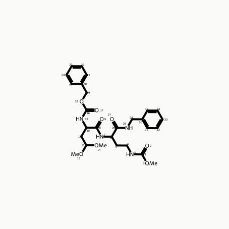 COC(=O)NCCC(NC(=O)C(CC(OC)OC)NC(=O)OCc1ccccc1)C(=O)NCc1ccccc1